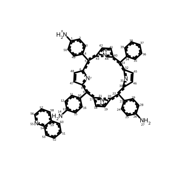 Nc1ccc(-c2c3nc(c(-c4ccc(N)cc4)c4ccc([nH]4)c(-c4ccc(N)cc4)c4nc(c(-c5ccccc5)c5ccc2[nH]5)C=C4)C=C3)cc1.c1ccc2ncccc2c1